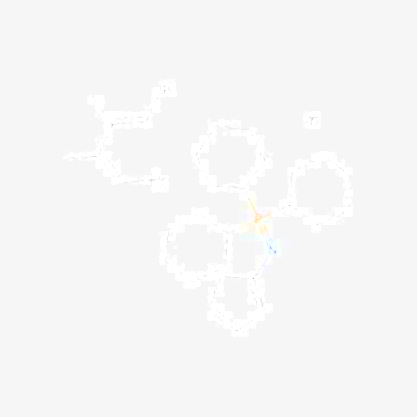 C1=CCC(N=P(C2CCCCC2)(C2CCCCC2)C2CCCCC2)=C1.CC(=CC(C)C)C(C)=CC(C)C.[Ti]